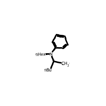 [CH2]C(CCCC)N(CCCCCC)c1ccccc1